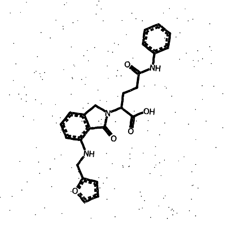 O=C(CCC(C(=O)O)N1Cc2cccc(NCc3ccco3)c2C1=O)Nc1ccccc1